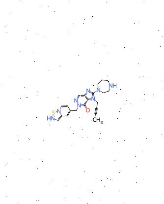 CC#CCn1c(N2CCCNCC2)nc2cnn(CC3=CC4=CNSN4C=C3)c(=O)c21